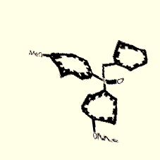 COc1ccc(P(=O)(Cc2ccccc2)c2ccc(OC)cc2)cc1